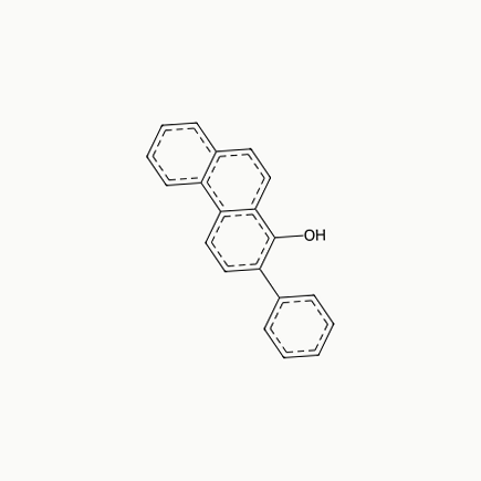 Oc1c(-c2ccccc2)ccc2c1ccc1ccccc12